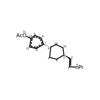 CCC/C=C/[C@H]1CC[C@H](c2ccc(OC(C)=O)cc2)CC1